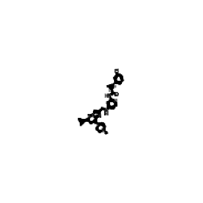 CN1CCN(c2cc(C3CC3)nn3cc(CNc4ccnc(NC(=O)[C@H]5C[C@@H]5c5cccc(Cl)c5)c4)nc23)CC1